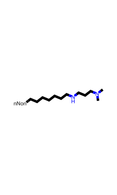 CCCCCCCCCCCCCCCCNCCCN(C)C